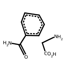 NC(=O)c1ccccc1.NCC(=O)O